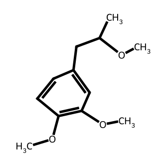 COc1ccc(CC(C)OC)cc1OC